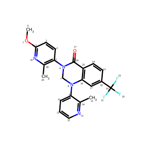 COc1ccc(N2CN(c3cccnc3C)c3cc(C(F)(F)F)ccc3C2=O)c(C)n1